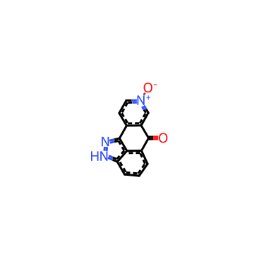 O=C1c2c[n+]([O-])ccc2-c2n[nH]c3cccc1c23